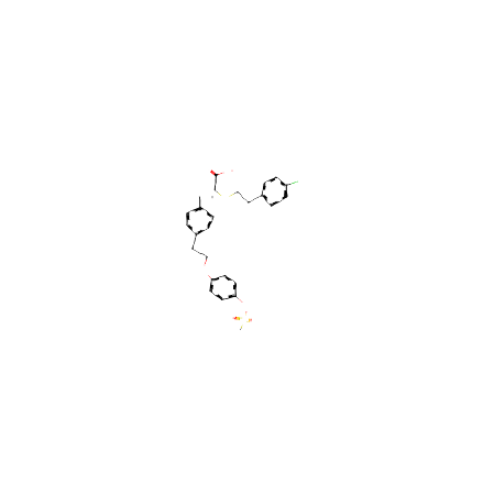 CS(=O)(=O)Oc1ccc(OCCc2ccc(C[C@@H](SCCc3ccc(Cl)cc3)C(=O)O)cc2)cc1